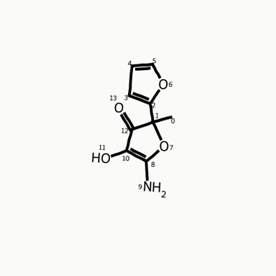 CC1(c2ccco2)OC(N)=C(O)C1=O